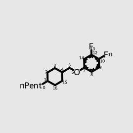 CCCCCC1CCC(COc2ccc(F)c(F)c2)CC1